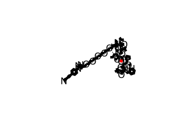 CC[C@H](C)[C@@H]([C@@H](CC(=O)N1CCC[C@H]1[C@H](OC)[C@@H](C)C(=O)N[C@@H](Cc1ccccc1)C(=O)OC(C)(C)C)OC)N(C)C(=O)[C@@H](NC(=O)[C@H](C(C)C)N(C)C(=O)CCOCCOCCOCCOCCOCc1cn(-c2ccc(C#CC#N)cc2)nn1)C(C)C